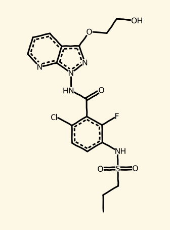 CCCS(=O)(=O)Nc1ccc(Cl)c(C(=O)Nn2nc(OCCO)c3cccnc32)c1F